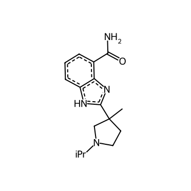 CC(C)N1CCC(C)(c2nc3c(C(N)=O)cccc3[nH]2)C1